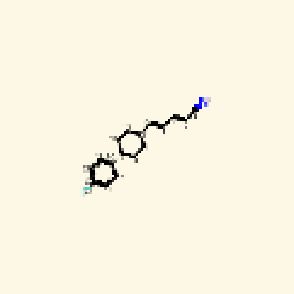 N#CC=CC=C[C@H]1CC[C@H](c2ccc(F)cc2)CC1